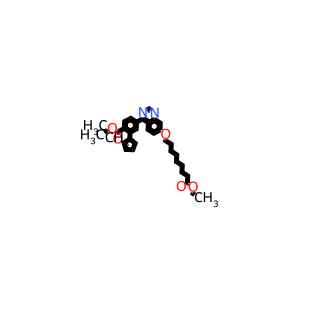 CCOC(=O)CCCCCCCCOc1ccc2c(-c3ccc(C(=O)OC(C)(C)C)c(C4CCCC4)c3)ncnc2c1